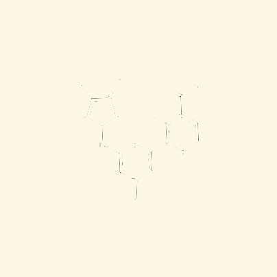 Cc1c(C(N)=O)cccc1-c1cc(Nc2cc(N)n(C)n2)c(=O)n(C)c1